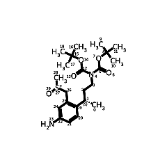 C[C@@H](CCN(C(=O)OC(C)(C)C)C(=O)OC(C)(C)C)c1ccc(N)cc1C[S+](C)[O-]